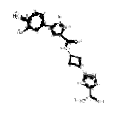 C[C@@H](O)c1nnc([C@H]2C[C@@H](NC(=O)c3cc(-c4ccc(O)c(O)c4)on3)C2)o1